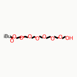 CCC(C)C(=O)OCCOCCOCCOCCOCCOCCOCCO